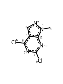 Cn1ncc2c(Cl)nc(Cl)nc21